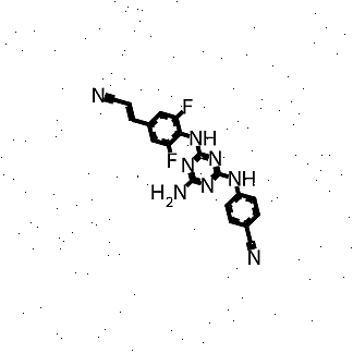 N#C/C=C/c1cc(F)c(Nc2nc(N)nc(Nc3ccc(C#N)cc3)n2)c(F)c1